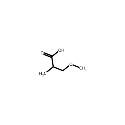 [CH2]C(COC)C(=O)O